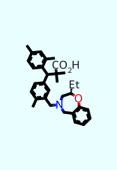 CC[C@@H]1CN(Cc2cc(C(c3ccc(C)cc3C)C(C)(C)C(=O)O)ccc2C)Cc2ccccc2O1